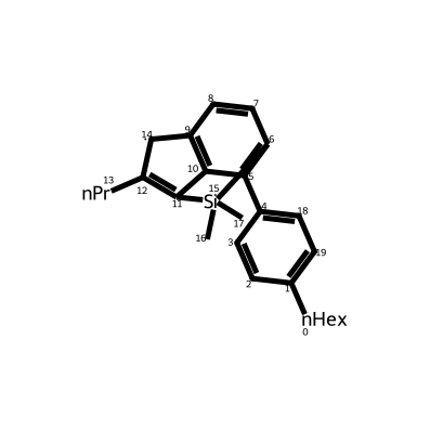 CCCCCCc1ccc(-c2c3ccc4c2C(=C(CCC)[CH]4)[Si]3(C)C)cc1